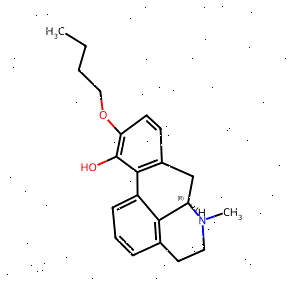 CCCCOc1ccc2c(c1O)-c1cccc3c1[C@@H](C2)N(C)CC3